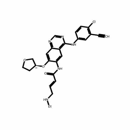 C#Cc1cc(Nc2ncnc3cc(O[C@H]4CCOC4)c(NC(=O)C=CCNCC)cc23)ccc1Cl